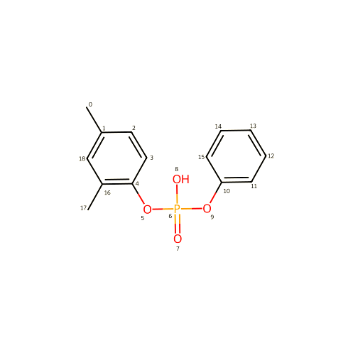 Cc1ccc(OP(=O)(O)Oc2ccccc2)c(C)c1